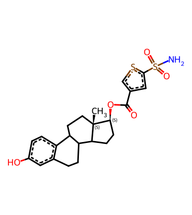 C[C@]12CCC3c4ccc(O)cc4CCC3C1CC[C@@H]2OC(=O)c1csc(S(N)(=O)=O)c1